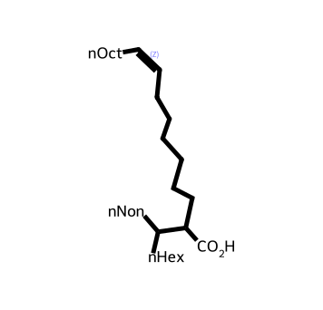 CCCCCCCC/C=C\CCCCCCC(C(=O)O)C(CCCCCC)CCCCCCCCC